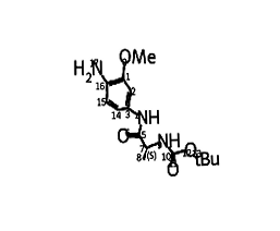 COc1cc(NC(=O)[C@H](C)NC(=O)OC(C)(C)C)ccc1N